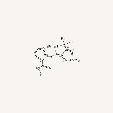 COC(=O)c1cccc(Br)c1COc1ccc(C)cc1C(F)(F)F